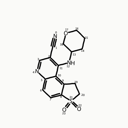 N#Cc1cnc2ccc3c(c2c1NC1CCCOC1)CCS3(=O)=O